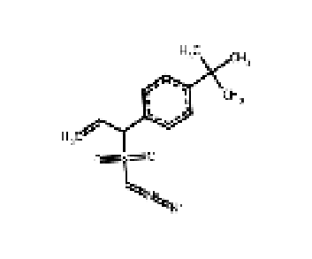 C=CC(c1ccc(C(C)(C)C)cc1)S(=O)(=O)C=[N+]=[N-]